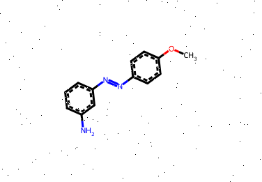 COc1ccc(/N=N/c2cccc(N)c2)cc1